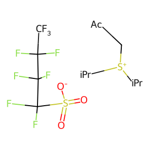 CC(=O)C[S+](C(C)C)C(C)C.O=S(=O)([O-])C(F)(F)C(F)(F)C(F)(F)C(F)(F)F